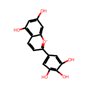 Oc1cc(O)c2ccc(-c3cc(O)c(O)c(O)c3)[o+]c2c1